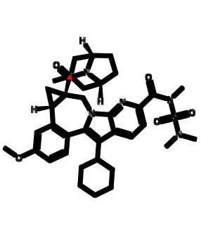 COc1ccc2c(c1)[C@@H]1C[C@]1(C(=O)N1[C@@H]3CC[C@H]1CN(C)C3)Cn1c-2c(C2CCCCC2)c2ccc(C(=O)N(C)S(=O)(=O)N(C)C)nc21